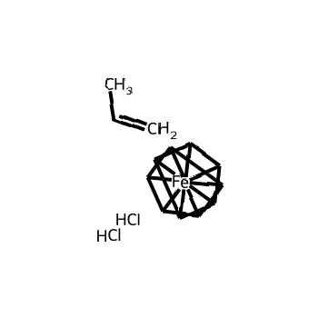 C=CC.Cl.Cl.[CH]12[CH]3[CH]4[CH]5[CH]1[Fe]23451678[CH]2[CH]1[CH]6[CH]7[CH]28